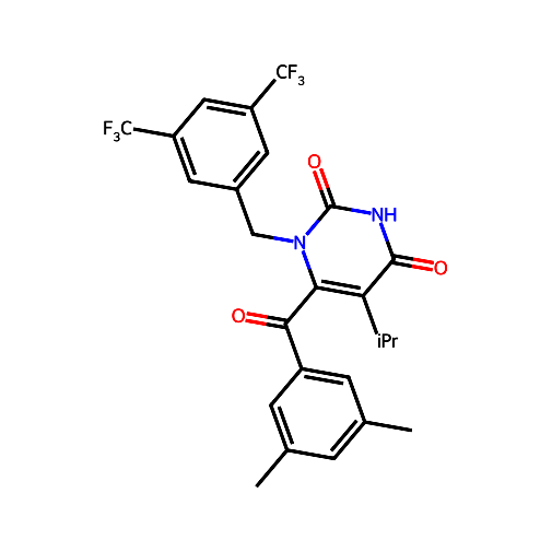 Cc1cc(C)cc(C(=O)c2c(C(C)C)c(=O)[nH]c(=O)n2Cc2cc(C(F)(F)F)cc(C(F)(F)F)c2)c1